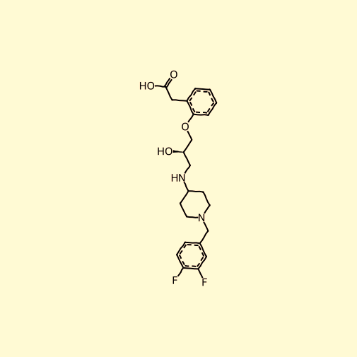 O=C(O)Cc1ccccc1OC[C@H](O)CNC1CCN(Cc2ccc(F)c(F)c2)CC1